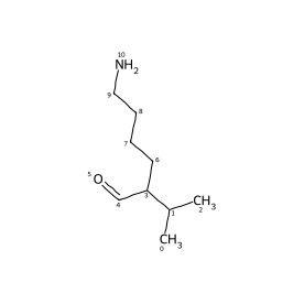 CC(C)C(C=O)CCCCN